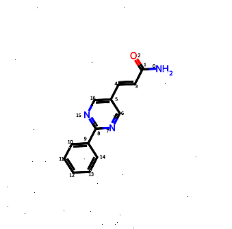 NC(=O)C=Cc1cnc(-c2ccccc2)nc1